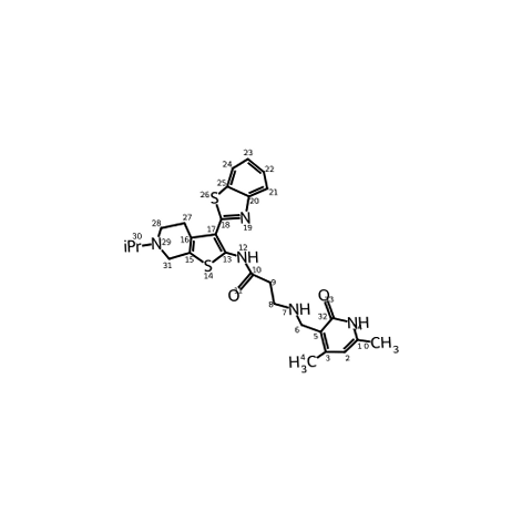 Cc1cc(C)c(CNCCC(=O)Nc2sc3c(c2-c2nc4ccccc4s2)CCN(C(C)C)C3)c(=O)[nH]1